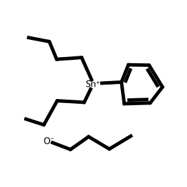 CCCC[O-].CCC[CH2][Sn+]([CH2]CCC)[c]1ccccc1